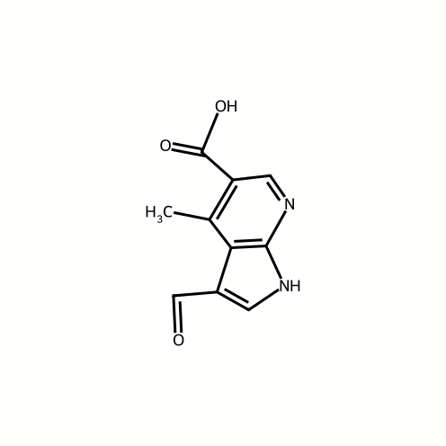 Cc1c(C(=O)O)cnc2[nH]cc(C=O)c12